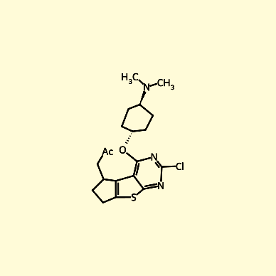 CC(=O)CC1CCc2sc3nc(Cl)nc(O[C@H]4CC[C@H](N(C)C)CC4)c3c21